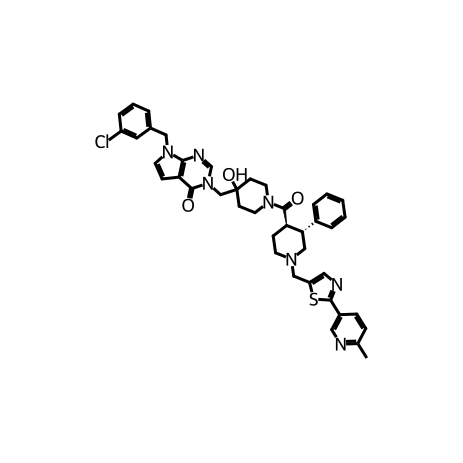 Cc1ccc(-c2ncc(CN3CC[C@@H](C(=O)N4CCC(O)(Cn5cnc6c(ccn6Cc6cccc(Cl)c6)c5=O)CC4)[C@H](c4ccccc4)C3)s2)cn1